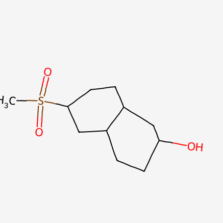 CS(=O)(=O)C1CCC2CC(O)CCC2C1